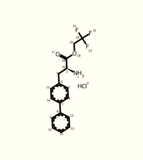 Cl.N[C@@H](Cc1ccc(-c2ccccc2)cc1)C(=O)OCC(F)(F)F